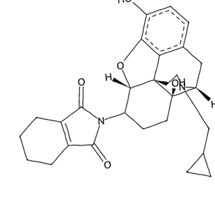 O=C1C2=C(CCCC2)C(=O)N1C1CC[C@@]2(O)[C@H]3Cc4ccc(O)c5c4[C@@]2(CCN3CC2CC2)[C@H]1O5